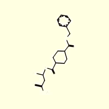 COC(=O)CC(NC(=O)C1CCC(C(=O)OCc2ccccc2)CC1)C(C)=O